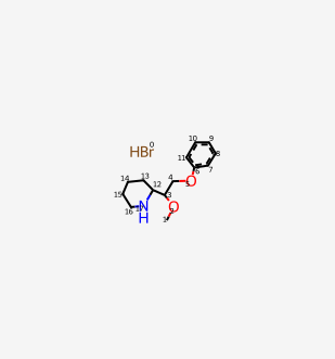 Br.COC(COc1ccccc1)C1CCCCN1